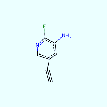 C#Cc1cnc(F)c(N)c1